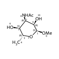 CO[C@H]1O[C@H](C)[C@@H](O)[C@@H](NC(C)=O)[C@H]1O